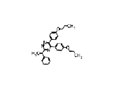 CCCOc1ccc(-c2nnc(C(C)c3ccccc3)nc2-c2ccc(OCCC)cc2)cc1